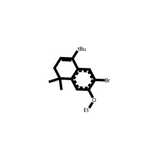 CCOc1cc2c(cc1Br)C(C(C)(C)C)=CCC2(C)C